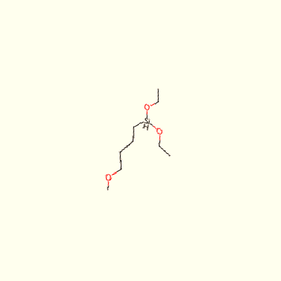 CCO[SiH](CCCCOC)OCC